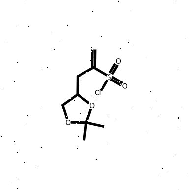 C=C(CC1COC(C)(C)O1)S(=O)(=O)Cl